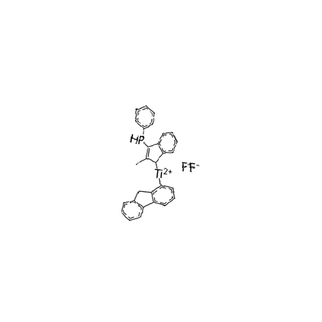 CC1=C(Pc2ccccc2)c2ccccc2[CH]1[Ti+2][c]1cccc2c1Cc1ccccc1-2.[F-].[F-]